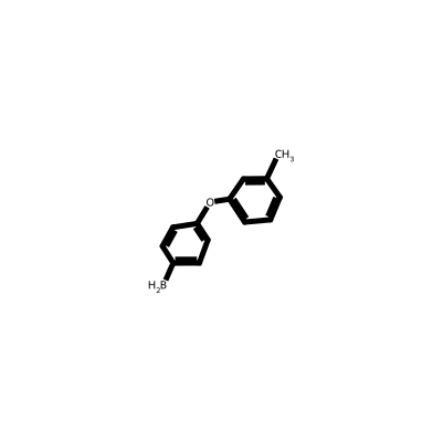 Bc1ccc(Oc2cccc(C)c2)cc1